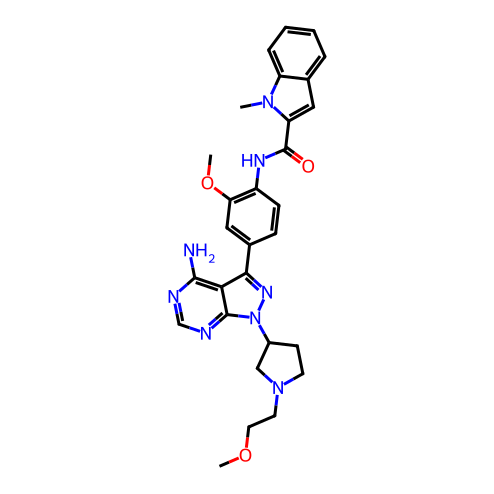 COCCN1CCC(n2nc(-c3ccc(NC(=O)c4cc5ccccc5n4C)c(OC)c3)c3c(N)ncnc32)C1